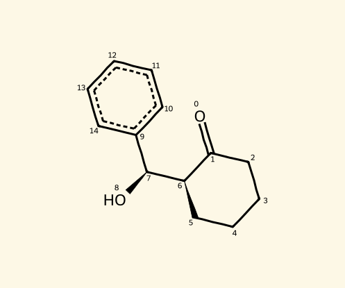 O=C1CCCC[C@H]1[C@@H](O)c1ccccc1